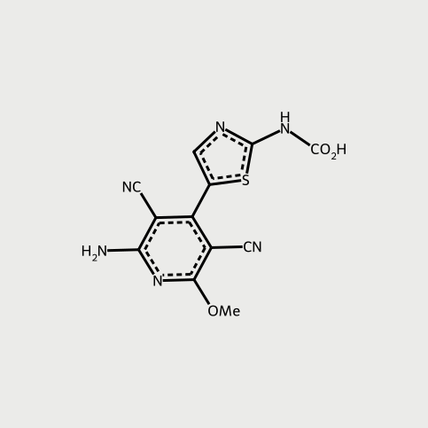 COc1nc(N)c(C#N)c(-c2cnc(NC(=O)O)s2)c1C#N